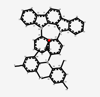 Cc1cc(C)c(B(c2ccc(-n3c4ccccc4c4ccc5c6ccccc6n(-c6ccccc6)c5c43)cc2)c2c(C)cc(C)cc2C)c(C)c1